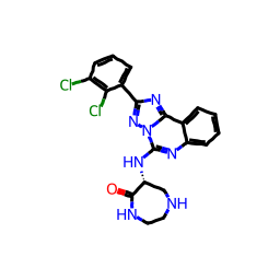 O=C1NCCNC[C@H]1Nc1nc2ccccc2c2nc(-c3cccc(Cl)c3Cl)nn12